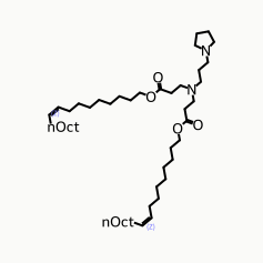 CCCCCCCC/C=C\CCCCCCCCOC(=O)CCN(CCCN1CCCC1)CCC(=O)OCCCCCCCC/C=C\CCCCCCCC